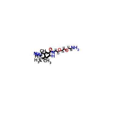 CC(N=[N+]=[N-])c1cc(C(=O)NCCOCCOCCN)ccc1C(C)(C)C